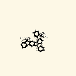 CC1(C)c2ccccc2-c2cc3c(cc21)c1c2c(cc4c5ccccc5n3c41)C(C)(C)c1ccccc1-2